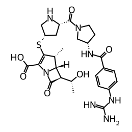 C[C@@H](O)[C@H]1C(=O)N2C(C(=O)O)=C(S[C@@H]3CN[C@H](C(=O)N4CC[C@H](NC(=O)c5ccc(NC(=N)N)cc5)C4)C3)[C@H](C)[C@H]12